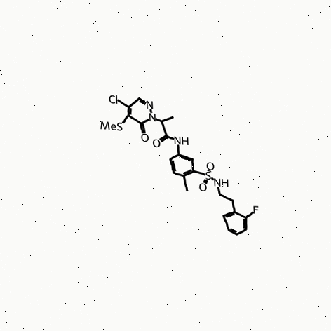 CSc1c(Cl)cnn(C(C)C(=O)Nc2ccc(C)c(S(=O)(=O)NCCc3ccccc3F)c2)c1=O